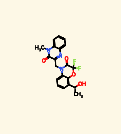 C[C@H](O)c1cccc2c1OC(F)(F)C(=O)N2Cc1nc2ccccc2n(C)c1=O